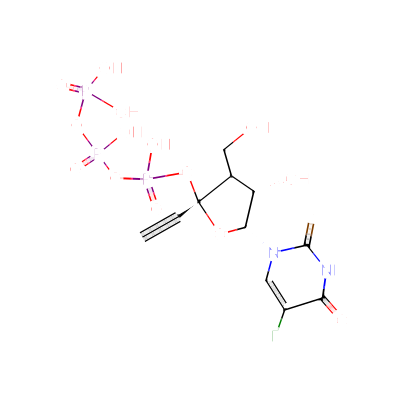 C#C[C@]1(OP(=O)(O)OP(=O)(O)OP(=O)(O)O)O[C@@H](n2cc(F)c(=O)[nH]c2=S)[C@@H](O)C1CO